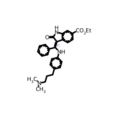 CCOC(=O)c1ccc2c(c1)NC(=O)/C2=C(/Nc1ccc(CCCN(C)C)cc1)c1ccccc1